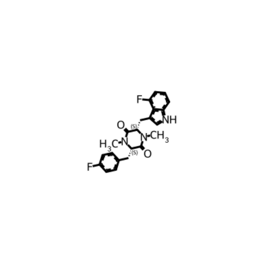 CN1C(=O)[C@H](Cc2c[nH]c3cccc(F)c23)N(C)C(=O)[C@@H]1Cc1ccc(F)cc1